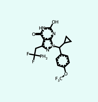 O=c1[nH]c(O)nc2c1c(CC(F)(F)P)nn2C(c1ccc(OC(F)(F)F)cc1)C1CC1